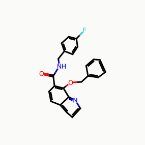 O=C(NCc1ccc(F)cc1)c1ccc2cccnc2c1OCc1ccccc1